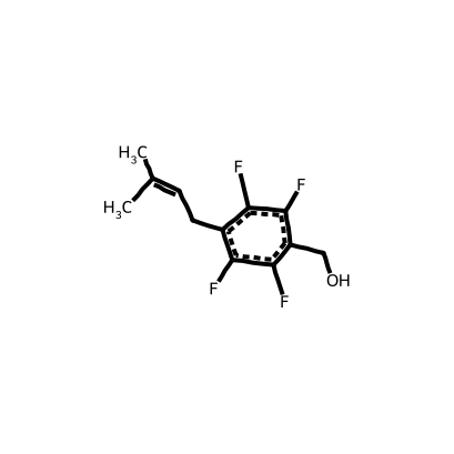 CC(C)=CCc1c(F)c(F)c(CO)c(F)c1F